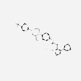 Cc1cc(-c2ccccc2)c(C(=O)C(=O)Nc2ccc3c(c2)OCC2CN(c4ncc(C(C)(C)O)cn4)CCN32)n1C